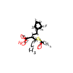 CC(=O)S[C@H](C)[C@H](CCc1ccccc1)C(=O)O